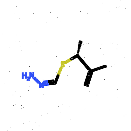 C=C(C)[C@@H](C)S/C=N\N